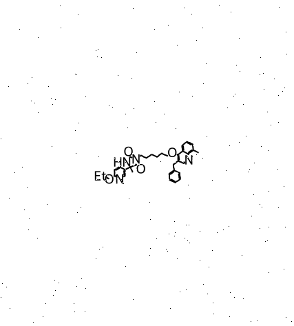 CCOc1ccc(C2(C)NC(=O)N(CCCCCCOc3c(Cc4ccccc4)cnc4c(C)cccc34)C2=O)cn1